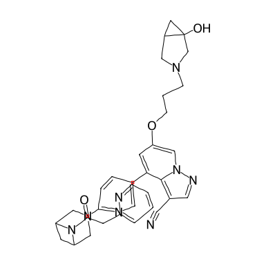 N#Cc1cnn2cc(OCCCN3CC4CC4(O)C3)cc(-c3ccc(N4CC5CC(C4)N5C(=O)Cc4ccccn4)nc3)c12